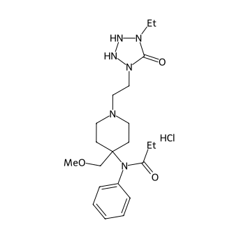 CCC(=O)N(c1ccccc1)C1(COC)CCN(CCN2NNN(CC)C2=O)CC1.Cl